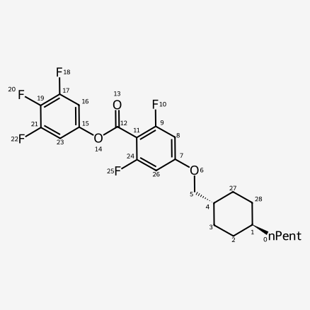 CCCCC[C@H]1CC[C@H](COc2cc(F)c(C(=O)Oc3cc(F)c(F)c(F)c3)c(F)c2)CC1